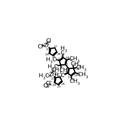 CC1=C(C)C(C)(C)C(C2=C(C)C(C)=C(C)C2(C)C)=C1C.[CH3][Zr+2]([CH3])[C]1=CC=CC1.[Cl-].[Cl-].[Cl][Zr]([Cl])[C]1=CC=CC1